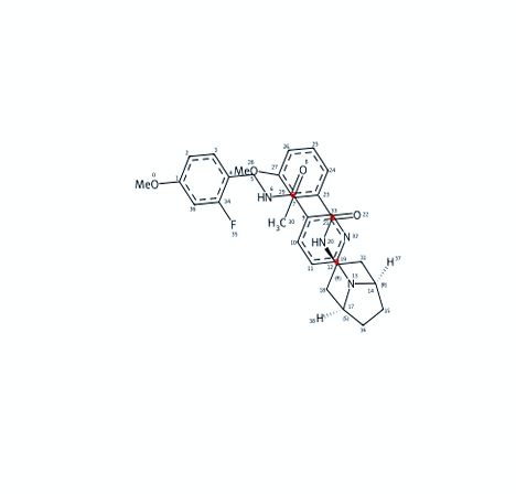 COc1ccc(CNC(=O)c2ccc(N3[C@@H]4CC[C@H]3C[C@@H](NC(=O)c3cccc(OC)c3C)C4)nc2)c(F)c1